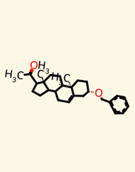 CC(=O)C1CCC2C3CC=C4C[C@@H](OCc5ccccc5)CC[C@]4(C)C3CC[C@]12C